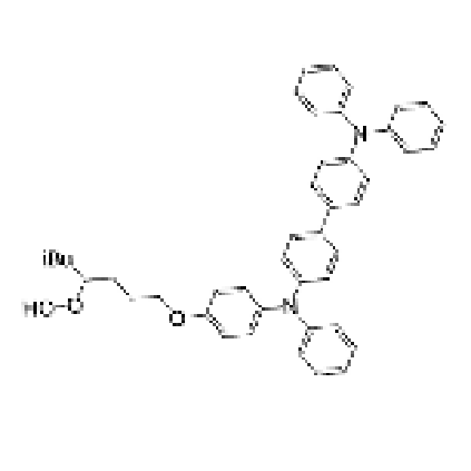 CCC(C)C(CCCOc1ccc(N(c2ccccc2)c2ccc(-c3ccc(N(c4ccccc4)c4ccccc4)cc3)cc2)cc1)OO